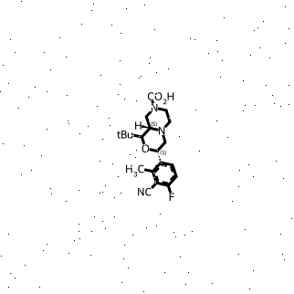 Cc1c([C@H]2CN3CCN(C(=O)O)C[C@H]3C(C(C)(C)C)O2)ccc(F)c1C#N